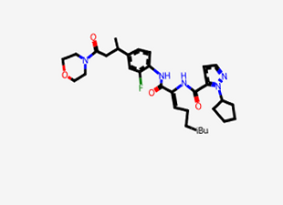 CCC(C)CC/C=C(\NC(=O)c1ccnn1C1CCCC1)C(=O)Nc1ccc(C(C)CC(=O)N2CCOCC2)cc1F